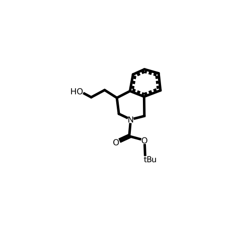 CC(C)(C)OC(=O)N1Cc2ccccc2C(CCO)C1